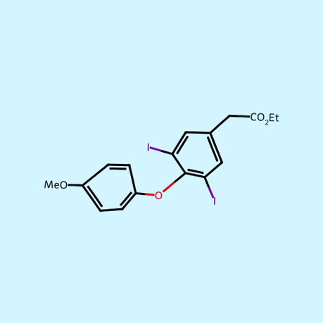 CCOC(=O)Cc1cc(I)c(Oc2ccc(OC)cc2)c(I)c1